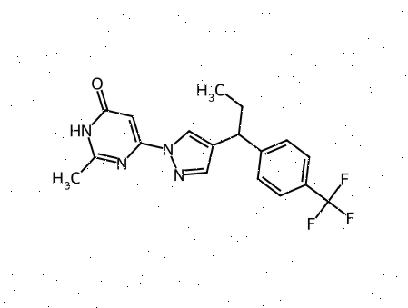 CCC(c1ccc(C(F)(F)F)cc1)c1cnn(-c2cc(=O)[nH]c(C)n2)c1